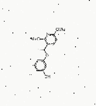 COc1ccc(C(C)Oc2c[c]cc(O)c2)c(OC)n1